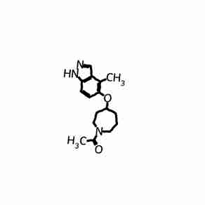 CC(=O)N1CCCC(Oc2ccc3[nH]ncc3c2C)CC1